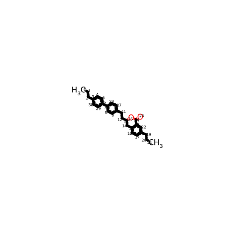 CCCc1ccc(-c2ccc(CCC3Cc4ccc(CCC)cc4C(=O)O3)cc2)cc1